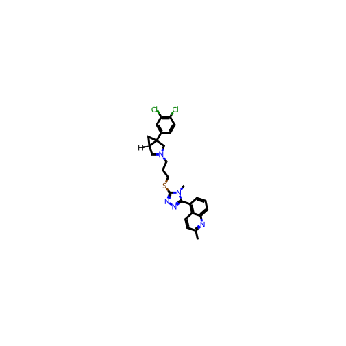 Cc1ccc2c(-c3nnc(SCCCN4C[C@@H]5CC5(c5ccc(Cl)c(Cl)c5)C4)n3C)cccc2n1